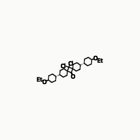 CCO[C@H]1CC[C@H](C2CCC3(CC2)C(=O)C2(CCC([C@H]4CC[C@H](OCC)CC4)CC2)C3(Cl)Cl)CC1